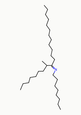 CCCCCCCCCCCC/C(=N/CCCCCCCC)C(C)CCCCCCC